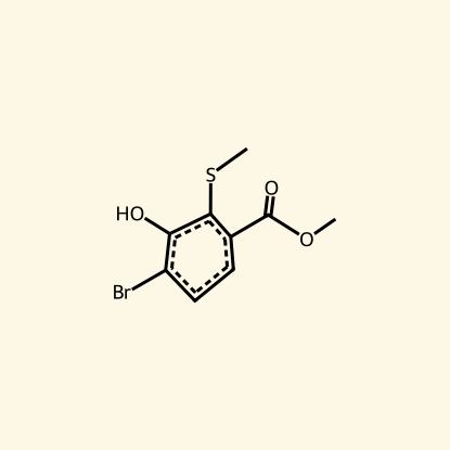 COC(=O)c1ccc(Br)c(O)c1SC